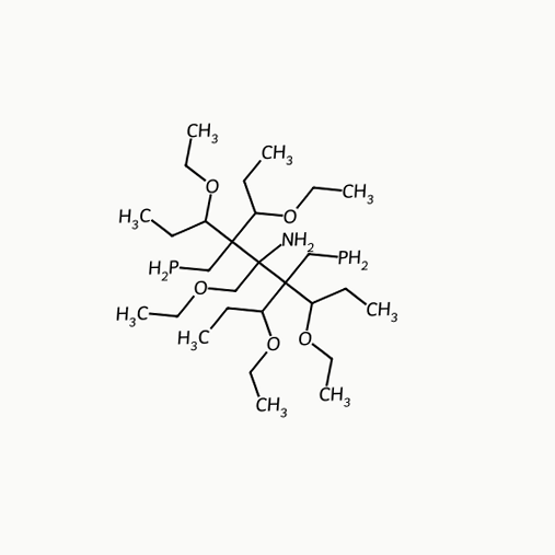 CCOCC(N)(C(CP)(C(CC)OCC)C(CC)OCC)C(CP)(C(CC)OCC)C(CC)OCC